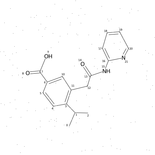 CC(C)c1ccc(C(=O)O)cc1CC(=O)Nc1ccccn1